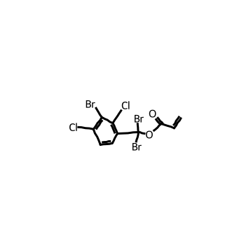 C=CC(=O)OC(Br)(Br)c1ccc(Cl)c(Br)c1Cl